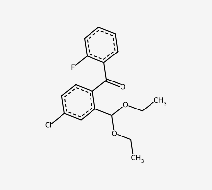 CCOC(OCC)c1cc(Cl)ccc1C(=O)c1ccccc1F